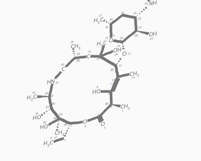 CC[C@H]1OC(=O)[C@H](C)/C(O)=C(\C)[C@@H](O[C@@H]2O[C@H](C)C[C@H](NC)[C@H]2O)C(C)(O)C[C@@H](C)CN[C@H](C)[C@@H](O)[C@]1(C)O